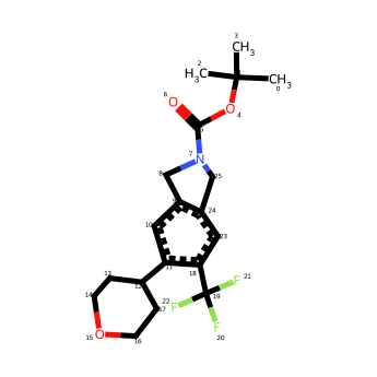 CC(C)(C)OC(=O)N1Cc2cc(C3CCOCC3)c(C(F)(F)F)cc2C1